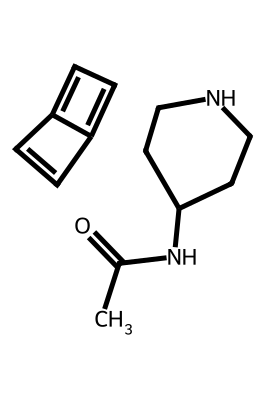 CC(=O)NC1CCNCC1.c1cc2ccc1-2